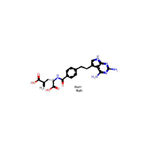 C=C(C[C@H](NC(=O)c1ccc(CCc2c[nH]c3nc(N)nc(N)c23)cc1)C(=O)O)C(=O)O.[NaH].[NaH]